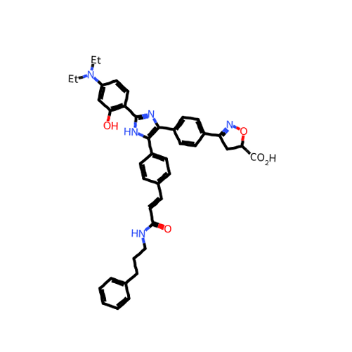 CCN(CC)c1ccc(-c2nc(-c3ccc(C4=NOC(C(=O)O)C4)cc3)c(-c3ccc(/C=C/C(=O)NCCCc4ccccc4)cc3)[nH]2)c(O)c1